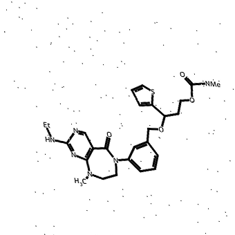 CCNc1ncc2c(n1)N(C)CCN(c1cccc(COC(CCOC(=O)NC)c3cccs3)c1)C2=O